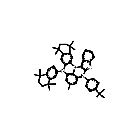 Cc1cc2c3c(c1)N(c1ccc(C(C)(C)C)cc1)c1oc4ccccc4c1B3c1cc3c(cc1N2c1ccc2c(c1)C(C)(C)CCC2(C)C)C(C)(C)CCC3(C)C